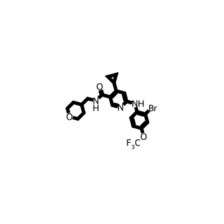 O=C(NCC1CCOCC1)c1cnc(Nc2ccc(OC(F)(F)F)cc2Br)cc1C1CC1